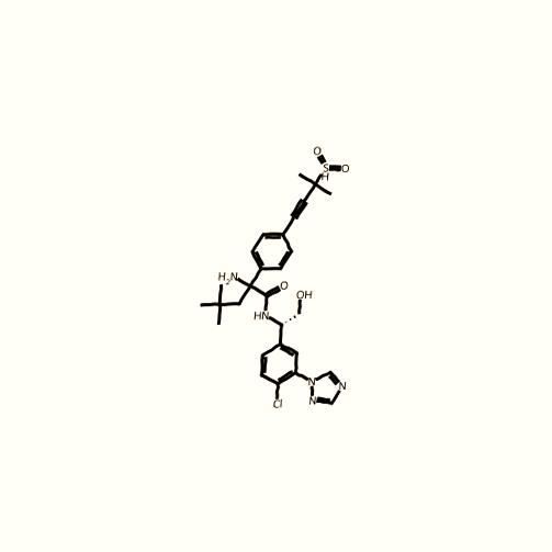 CC(C)(C)CC(N)(C(=O)N[C@H](CO)c1ccc(Cl)c(-n2cncn2)c1)c1ccc(C#CC(C)(C)[SH](=O)=O)cc1